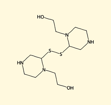 OCCN1CCNCC1SSC1CNCCN1CCO